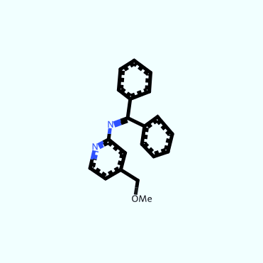 COCc1ccnc(N=C(c2ccccc2)c2ccccc2)c1